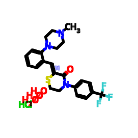 CN1CCN(c2ccccc2/C=C2\SCCN(c3ccc(C(F)(F)F)cc3)C2=O)CC1.Cl.O.O.O